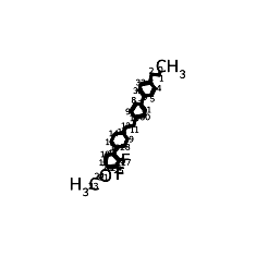 CCCc1ccc(-c2ccc(CCC3CCC(c4ccc(OCC)c(F)c4F)CC3)cc2)cc1